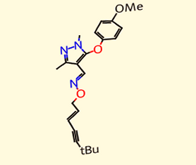 COc1ccc(Oc2c(C=NOCC=CC#CC(C)(C)C)c(C)nn2C)cc1